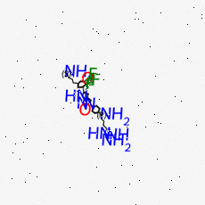 C[C@H](N)CCCc1cc(OC(F)(F)F)c(F)c(-c2cc3cn(-c4ccc([C@H](N)CCCCNC(=N)N)cc4)c(=O)nc3[nH]2)c1